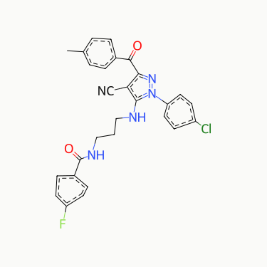 Cc1ccc(C(=O)c2nn(-c3ccc(Cl)cc3)c(NCCCNC(=O)c3ccc(F)cc3)c2C#N)cc1